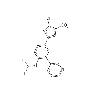 Cc1nn(-c2ccc(OC(F)F)c(-c3cccnc3)c2)cc1C(=O)O